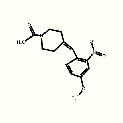 COc1ccc(C=C2CCN(C(C)=O)CC2)c([N+](=O)[O-])c1